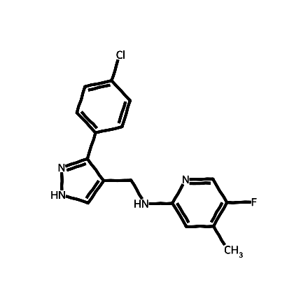 Cc1cc(NCc2c[nH]nc2-c2ccc(Cl)cc2)ncc1F